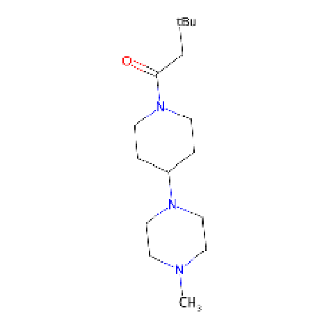 CN1CCN(C2CCN(C(=O)CC(C)(C)C)CC2)CC1